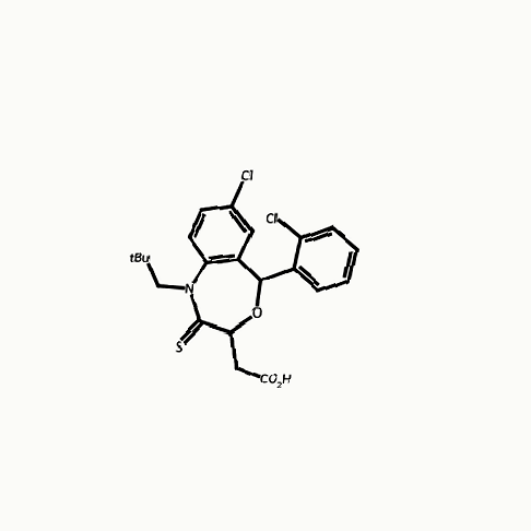 CC(C)(C)CN1C(=S)C(CC(=O)O)OC(c2ccccc2Cl)c2cc(Cl)ccc21